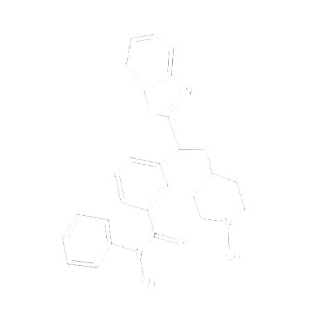 CN1CCC(OC(c2cccc(C(=O)N(C)c3ccccc3)c2)c2nc3ccccc3s2)CC1